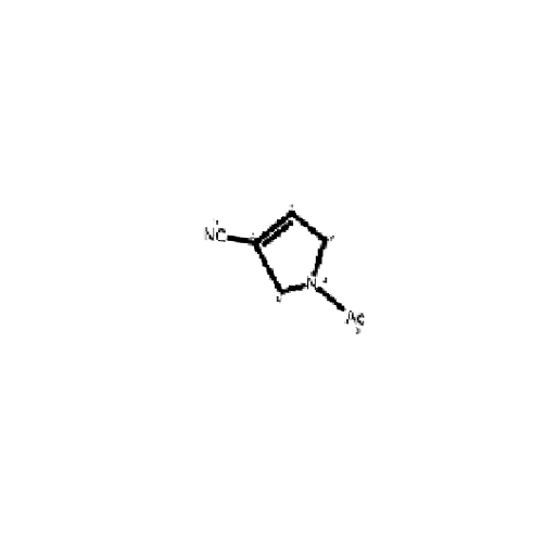 CC(=O)N1CC=C(C#N)C1